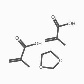 C1COCO1.C=C(C)C(=O)O.C=C(C)C(=O)O